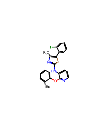 CC(C)(C)c1ccccc1Oc1ncccc1Nc1nc(C(F)(F)F)c(-c2ccccc2F)s1